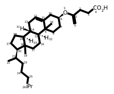 C=C(CCC(=O)O)O[C@H]1CCC2(C)C(=CC[C@@H]3[C@@H]2CCC2(C)[C@@H](C(C)CCCC(C)C)CC[C@@H]32)C1